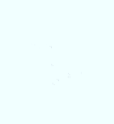 CC(C)(C)OC(=O)N1CCCC(CNc2cc(Cl)nnc2C(=O)NCC(F)(F)F)C1